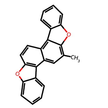 Cc1cc2c(ccc3oc4ccccc4c32)c2c1oc1ccccc12